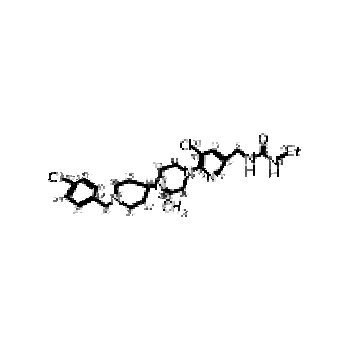 CCNC(=O)NCc1cnc(N2CCN(C3CCN(Cc4ccc(Cl)cc4)CC3)[C@@H](C)C2)c(Cl)c1